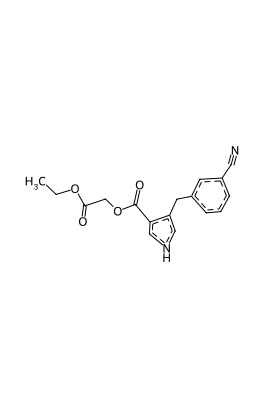 CCOC(=O)COC(=O)c1c[nH]cc1Cc1cccc(C#N)c1